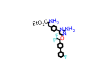 CCOC(=O)[C@@H](N)Cc1ccc(-c2cc(OC(c3ccc(-c4cccc(F)c4)cc3)C(F)F)nc(N)n2)cc1